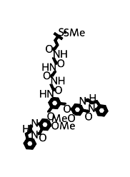 COc1cc2c(cc1OCc1cc(COc3cc4c(cc3OC)C(=O)N3c5ccccc5C[C@H]3C=N4)cc(NC(=O)CNC(=O)CNC(=O)CNC(=O)CCC(C)(C)SSC)c1)N=C[C@@H]1Cc3ccccc3N1C2=O